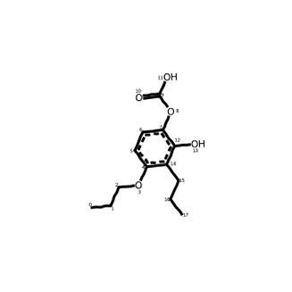 CCCOc1ccc(OC(=O)O)c(O)c1CCC